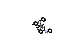 CCCC(CC)(Pc1c(C)cccc1/C(C)=N/c1ccccc1)c1cc(C)ccc1OCc1ccccc1